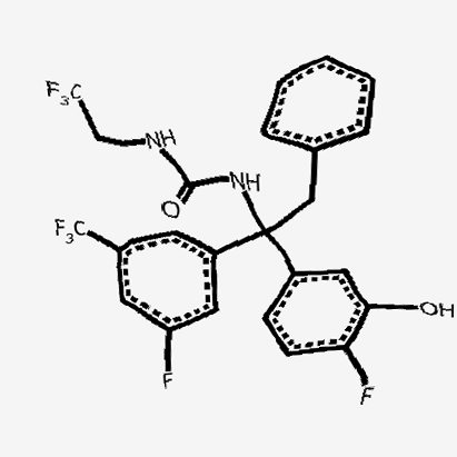 O=C(NCC(F)(F)F)NC(Cc1ccccc1)(c1cc(F)cc(C(F)(F)F)c1)c1ccc(F)c(O)c1